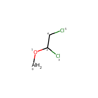 [AlH2][O]C(Cl)CCl